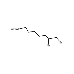 [CH2]CCCCCCCCCC(Br)[CH]Br